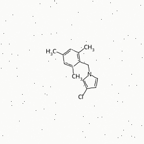 Cc1cc(C)c(Cn2ccc(Cl)c2)c(C)c1